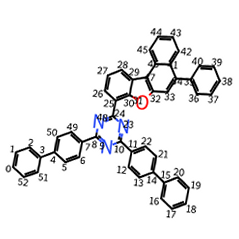 c1ccc(-c2ccc(-c3nc(-c4ccc(-c5ccccc5)cc4)nc(-c4cccc5c4oc4cc(-c6ccccc6)c6ccccc6c45)n3)cc2)cc1